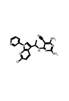 CC(Nc1nc(N)nc(N)c1C#N)c1cn(-c2cccnc2)c2nc(Cl)ccc12